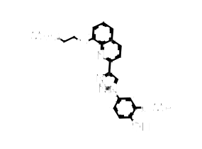 COCCOc1cccc2ccc(-c3cn(-c4ccc(O)c(OC)c4)nn3)nc12